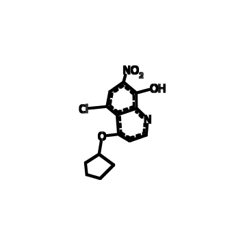 O=[N+]([O-])c1cc(Cl)c2c(OC3CCCC3)ccnc2c1O